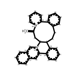 C=C1CC2C(CCc3ccccc3-c3cccc[n+]31)c1ccccc1-c1cc3ccccc3c[n+]12